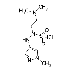 CN(C)CCN(Nc1cnn(C)c1)[SH](=O)=O.Cl